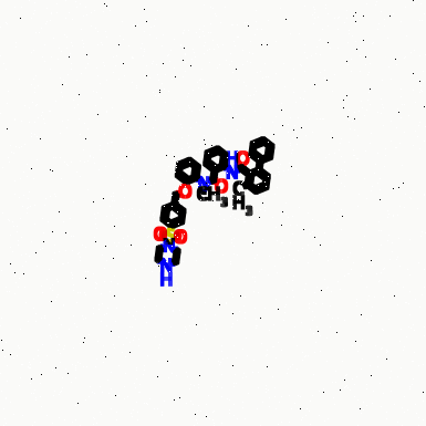 Cc1cccc(-c2ccccc2)c1C(=O)Nc1ccccc1C(=O)N(C)c1ccccc1OCc1ccc(S(=O)(=O)N2CCNCC2)cc1